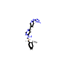 COc1ccccc1[C@H](C)SCNc1cc(-c2ccc(Nc3nn[nH]n3)nc2)ncn1